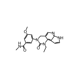 CCN1C(=O)N(c2cc(OC)cc(C(=O)NC)c2)Cc2cnc3[nH]ccc3c21